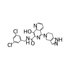 O=C(NCc1cc(Cl)cc(Cl)c1)c1nc(N2CCc3[nH]ncc3C2)c2cccnc2c1O